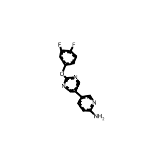 Nc1ccc(-c2cnc(Oc3ccc(F)c(F)c3)nc2)cn1